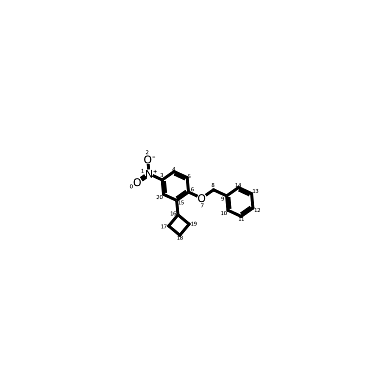 O=[N+]([O-])c1ccc(OCc2ccccc2)c(C2CCC2)c1